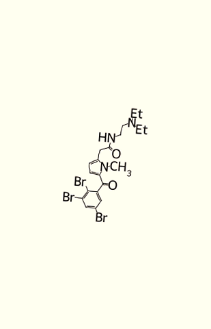 CCN(CC)CCNC(=O)Cc1ccc(C(=O)c2cc(Br)cc(Br)c2Br)n1C